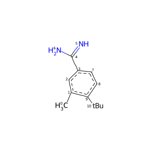 Cc1cc(C(=N)N)ccc1C(C)(C)C